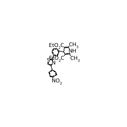 CCOC(=O)C1=C(C)NC(C)=C(C(=O)OCC)C1c1cccc(-c2nc(-c3ccc([N+](=O)[O-])cc3)cs2)c1